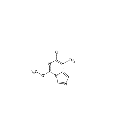 COc1nc(Cl)c(C)c2cncn12